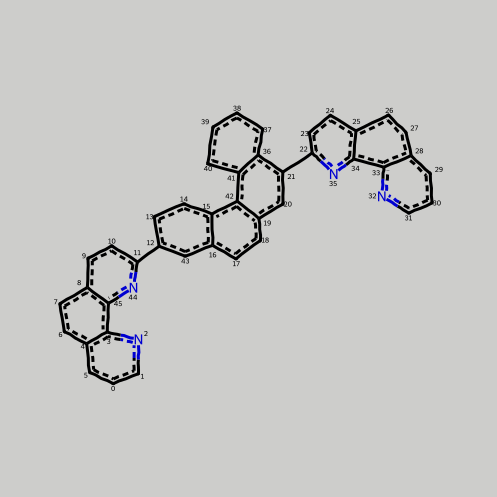 c1cnc2c(c1)ccc1ccc(-c3ccc4c(ccc5cc(-c6ccc7ccc8cccnc8c7n6)c6ccccc6c54)c3)nc12